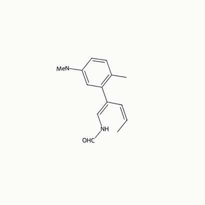 C/C=C\C(=C/NC=O)c1cc(NC)ccc1C